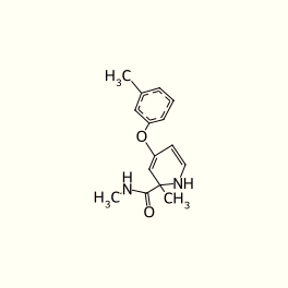 CNC(=O)C1(C)C=C(Oc2cccc(C)c2)C=CN1